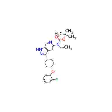 CCN(C(=O)OC(C)(C)C)c1cc2c(cn1)[nH]nc2[C@H]1CC[C@@H](Oc2ccccc2F)CC1